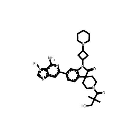 CC(C)n1cnc2cc(-c3ccc4c(c3)N(C3CC(N5CCCCC5)C3)C(=O)C43CCN(C(=O)C(C)(C)CO)CC3)nc(N)c21